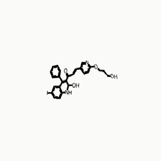 O=C(/C=C/c1ccc(OCCCO)nc1)C1=C(c2ccccc2)c2cc(I)ccc2NC1O